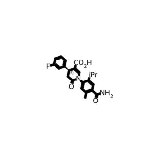 Cc1cc(N2C=C(C(=O)O)[C@H](c3cccc(F)c3)CC2=O)c(C(C)C)cc1C(N)=O